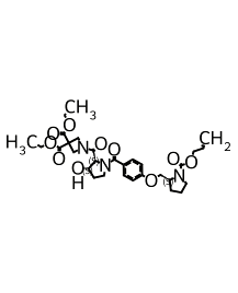 C=CCOC(=O)N1CCC[C@H]1COc1ccc(C(=O)N2CC[C@H](O)[C@H]2C(=O)N2CC(C(=O)OCC)(C(=O)OCC)C2)cc1